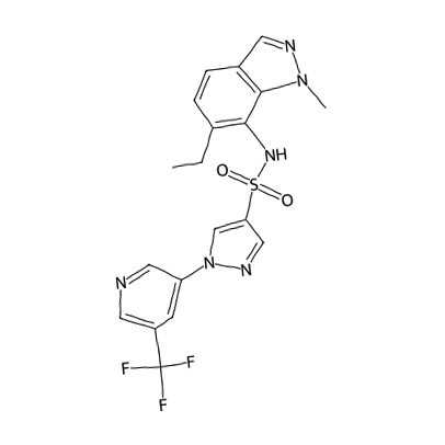 CCc1ccc2cnn(C)c2c1NS(=O)(=O)c1cnn(-c2cncc(C(F)(F)F)c2)c1